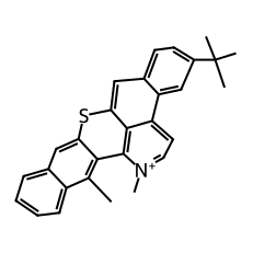 Cc1c2c(cc3ccccc13)Sc1cc3ccc(C(C)(C)C)cc3c3cc[n+](C)c-2c13